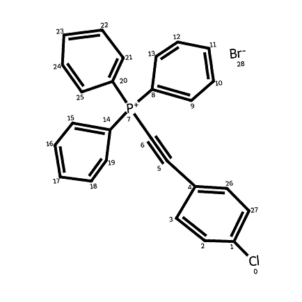 Clc1ccc(C#C[P+](c2ccccc2)(c2ccccc2)c2ccccc2)cc1.[Br-]